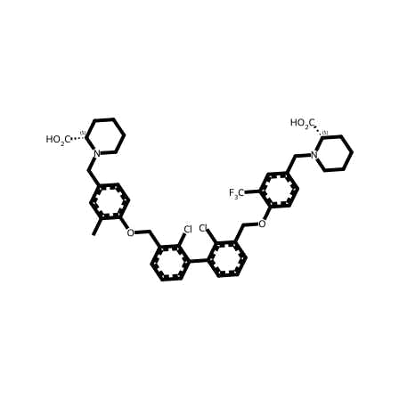 Cc1cc(CN2CCCC[C@H]2C(=O)O)ccc1OCc1cccc(-c2cccc(COc3ccc(CN4CCCC[C@H]4C(=O)O)cc3C(F)(F)F)c2Cl)c1Cl